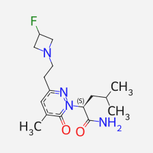 Cc1cc(CCN2CC(F)C2)nn([C@@H](CC(C)C)C(N)=O)c1=O